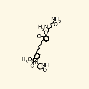 Cn1c(=O)n(C2CCC(=O)NC2)c2ccc(CCCCCc3cccc(OC[C@@H](N)CCC(N)=O)c3Cl)cc21